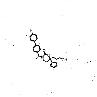 C[C@@H](c1ccc(-c2ccc(F)cc2)cc1)N1CC[C@@](CCCO)(c2cccs2)OC1=O